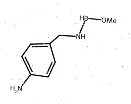 COBNCc1ccc(N)cc1